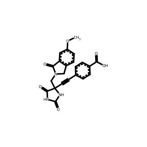 COc1ccc2c(c1)C(=O)N(CC1(C#Cc3ccc(C(=O)O)cc3)NC(=O)NC1=O)C2